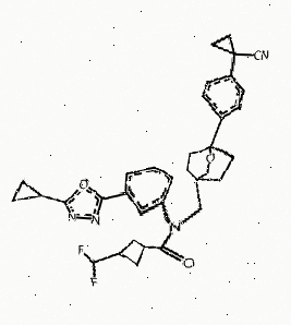 N#CC1(c2ccc(C34CCC(CN(C(=O)C5CC(C(F)F)C5)c5cccc(-c6nnc(C7CC7)o6)c5)(CC3)CO4)cc2)CC1